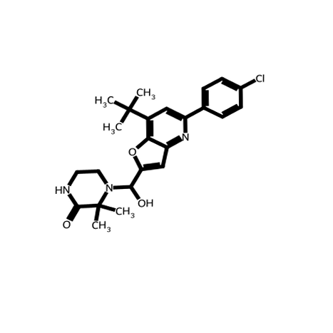 CC(C)(C)c1cc(-c2ccc(Cl)cc2)nc2cc(C(O)N3CCNC(=O)C3(C)C)oc12